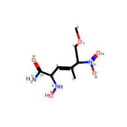 COCC(C(C)=CC(NO)C(N)=O)[N+](=O)[O-]